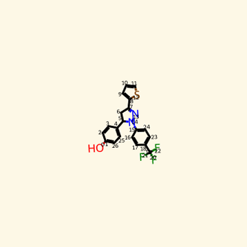 Oc1ccc(C2CC(c3cccs3)=NN2c2ccc(C(F)(F)F)cc2)cc1